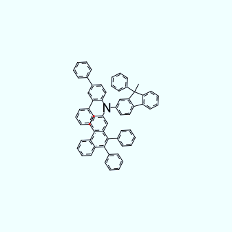 CC1(c2ccccc2)c2ccccc2-c2ccc(N(c3ccc4c(c3)c(-c3ccccc3)c(-c3ccccc3)c3ccccc34)c3ccc(-c4ccccc4)cc3-c3ccccc3)cc21